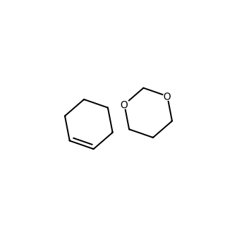 C1=CCCCC1.C1COCOC1